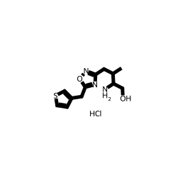 CC(Cc1noc(Cc2ccsc2)n1)C(N)CO.Cl